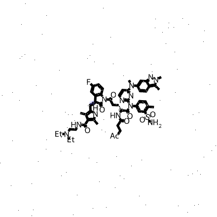 CCN(CC)CCNC(=O)c1c(C)[nH]c(/C=C2\C(=O)N(C(=O)CC[C@@H](NC(=O)CCC(C)=O)C(=O)N(c3ccc(C)c(S(N)(=O)=O)c3)c3nccc(N(C)c4ccc5c(C)n(C)nc5c4)n3)c3ccc(F)cc32)c1C